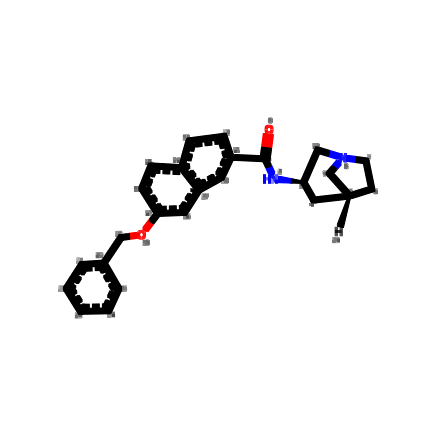 O=C(N[C@@H]1C[C@H]2CCN(C2)C1)c1ccc2ccc(OCc3ccccc3)cc2c1